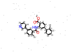 COC(=O)c1ccc(-c2ccccc2C)cc1NC(=O)c1cc(-c2cccnc2)ccc1C